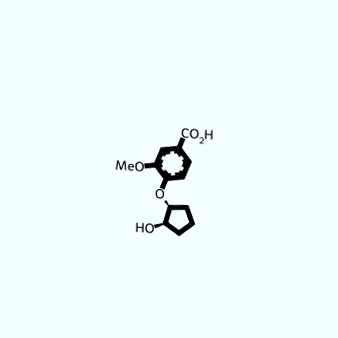 COc1cc(C(=O)O)ccc1O[C@@H]1CCC[C@H]1O